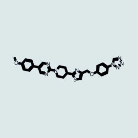 COc1ccc(-c2cnc(N3CCC(c4nc(COc5ccc(-n6cnnn6)cc5)cs4)CC3)nc2)cc1